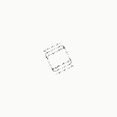 C1#CC#C1